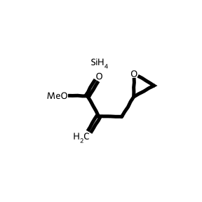 C=C(CC1CO1)C(=O)OC.[SiH4]